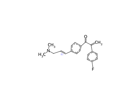 C=C(C(=O)c1ccc(/C=C/CN(C)C)cc1)c1ccc(F)cc1